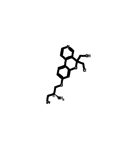 CC(C)C[C@@H](N)COc1ccc2c(c1)OC(CO)(CCl)c1cnccc1-2